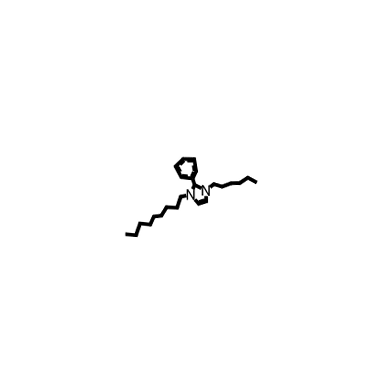 CCCCCCCCCN1C=CN(CCCCCC)C1c1ccccc1